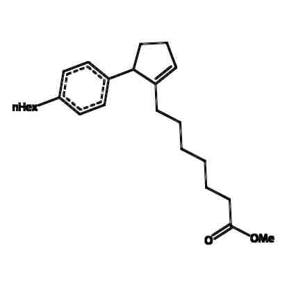 CCCCCCc1ccc(C2CCC=C2CCCCCCC(=O)OC)cc1